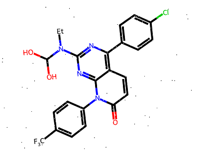 CCN(c1nc(-c2ccc(Cl)cc2)c2ccc(=O)n(-c3ccc(C(F)(F)F)cc3)c2n1)C(O)O